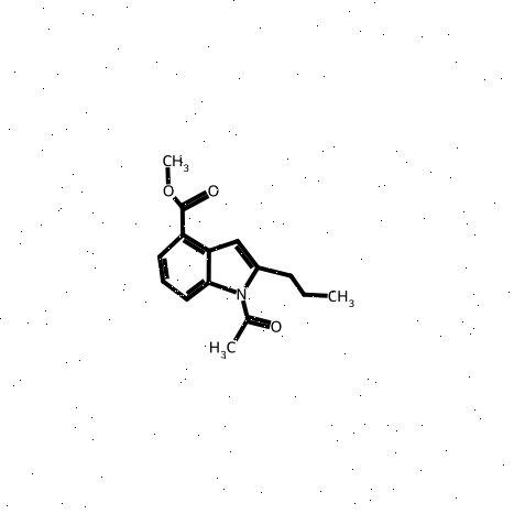 CCCc1cc2c(C(=O)OC)cccc2n1C(C)=O